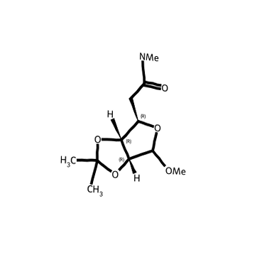 CNC(=O)C[C@H]1OC(OC)[C@@H]2OC(C)(C)O[C@H]12